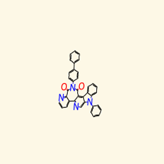 O=c1c2ncccc2c2ncc3c(c4ccccc4n3-c3ccccc3)c2c(=O)n1-c1ccc(-c2ccccc2)cc1